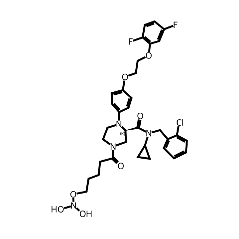 O=C(CCCCON(O)O)N1CCN(c2ccc(OCCOc3cc(F)ccc3F)cc2)[C@@H](C(=O)N(Cc2ccccc2Cl)C2CC2)C1